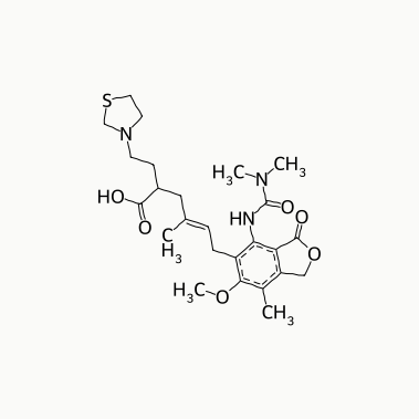 COc1c(C)c2c(c(NC(=O)N(C)C)c1C/C=C(\C)CC(CCN1CCSC1)C(=O)O)C(=O)OC2